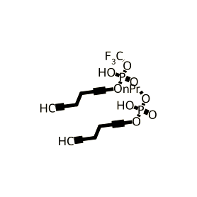 C#CCCC#COP(=O)(O)OC(F)(F)F.C#CCCC#COP(=O)(O)OCCC